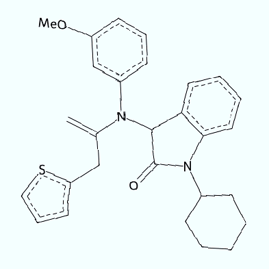 C=C(Cc1cccs1)N(c1cccc(OC)c1)C1C(=O)N(C2CCCCC2)c2ccccc21